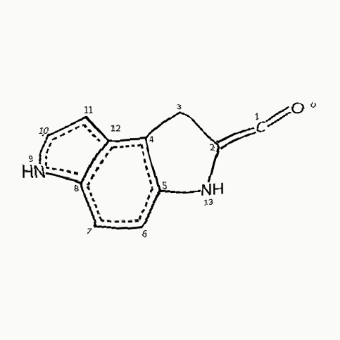 O=C=C1Cc2c(ccc3[nH][c]cc23)N1